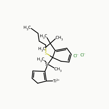 CCCCSC1([Si](C)(C)C2=[C]([Ti+2])CC=C2)CC=CC=C1C(C)(C)C.[Cl-].[Cl-]